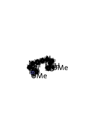 COO/C=N\[C@@H](C(=O)N1CCC[C@H]1c1ncc(-c2ccc(-c3ccc(-c4cnc([C@@H]5CCCN5C(=O)[C@H](NC(=O)OC)c5ccccc5)[nH]4)cc3)cc2)[nH]1)c1ccccc1Cl